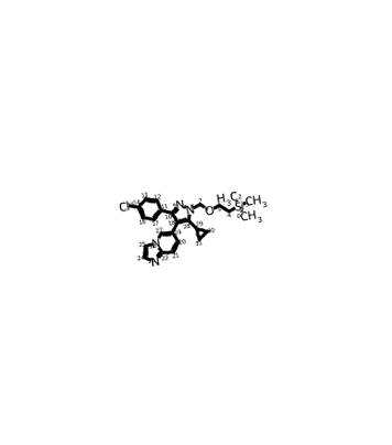 C[Si](C)(C)CCOCn1nc(-c2ccc(Cl)cc2)c(-c2ccc3nccn3c2)c1C1CC1